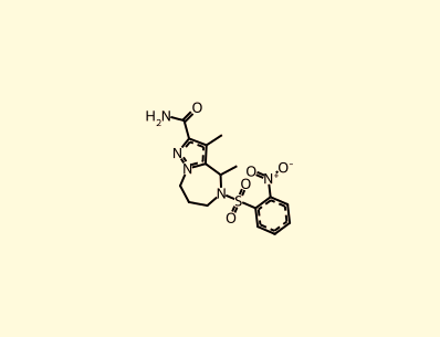 Cc1c(C(N)=O)nn2c1C(C)N(S(=O)(=O)c1ccccc1[N+](=O)[O-])CCC2